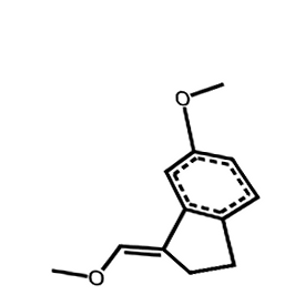 COC=C1CCc2ccc(OC)cc21